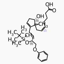 CC(C)(C)[Si](C)(C)O[C@@H](CCC1=CC[C@H](O)[C@]1(C)C/C=C\CCCC(=O)O)COc1ccccc1